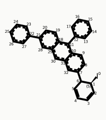 I[C@H]1C=CC=CC1c1ccc2c(-c3ccccc3)c3ccc(-c4ccccc4)cc3cc2c1